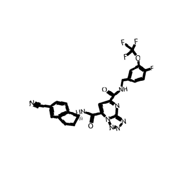 N#Cc1ccc2c(c1)CC[C@@H]2NC(=O)c1cc(C(=O)NCc2ccc(F)c(OC(F)(F)F)c2)nc2nnnn12